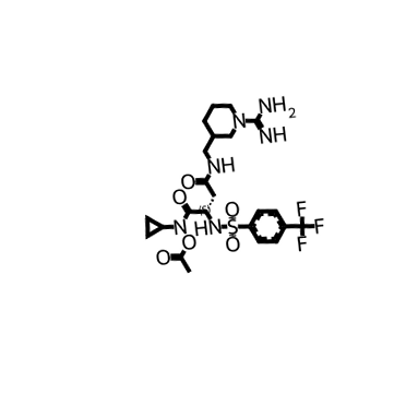 CC(=O)ON(C(=O)[C@H](CC(=O)NCC1CCCN(C(=N)N)C1)NS(=O)(=O)c1ccc(C(F)(F)F)cc1)C1CC1